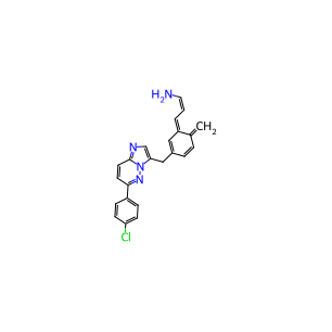 C=c1ccc(Cc2cnc3ccc(-c4ccc(Cl)cc4)nn23)c/c1=C/C=C\N